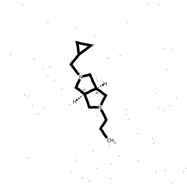 CCCN1C[C@@H]2CN(CC3CC3)C[C@@H]2C1